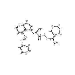 CN(CCNC(=O)Cn1ccc2cccc(OCc3ccccc3)c21)C1CCCCC1